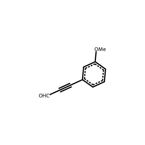 COc1cccc(C#CC=O)c1